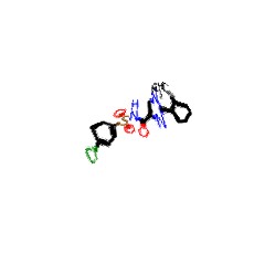 Cc1ccccc1-c1nc(C(=O)NS(=O)(=O)c2ccc(Cl)cc2)cn1C